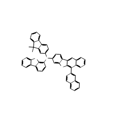 CC1(C)c2ccccc2-c2ccc(N(c3ccc4c(c3)oc3c(-c5ccc6ccccc6c5)c5ccccc5cc34)c3cccc4c3sc3ccccc34)cc21